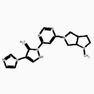 C=C1C(n2ccnc2)=CNN1c1cc(N2CC3CCN(C)C3C2)ncn1